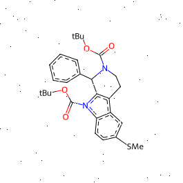 CSc1ccc2c(c1)c1c(n2C(=O)OC(C)(C)C)C(c2ccccc2)N(C(=O)OC(C)(C)C)CC1